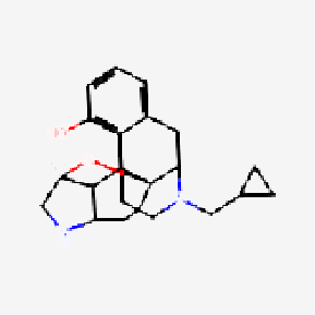 Oc1cccc2c1C13CCN(CC4CC4)C(C2)C12CCC1NC[C@@H](O2)C13